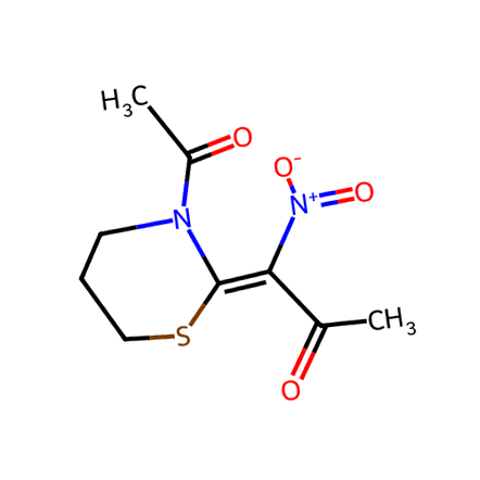 CC(=O)/C(=C1\SCCCN1C(C)=O)[N+](=O)[O-]